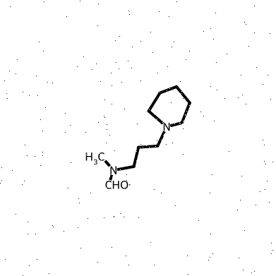 CN([C]=O)CCCN1CCCCC1